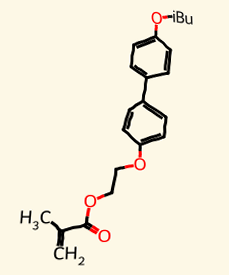 C=C(C)C(=O)OCCOc1ccc(-c2ccc(OC(C)CC)cc2)cc1